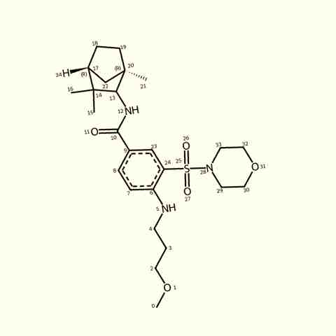 COCCCNc1ccc(C(=O)NC2C(C)(C)[C@@H]3CC[C@]2(C)C3)cc1S(=O)(=O)N1CCOCC1